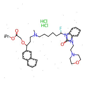 CC(C)OC(=O)COC(CCN(C)CCCCCC(F)n1c(=O)n(CCN2CCOCC2)c2ccccc21)c1ccc2ccccc2c1.Cl.Cl